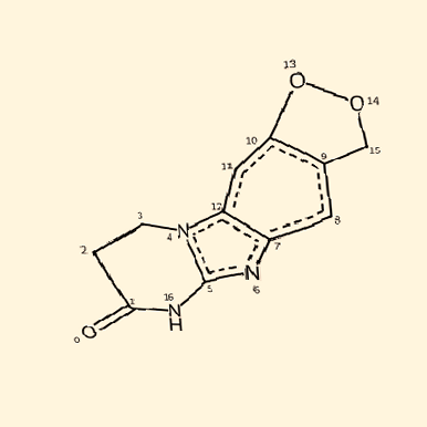 O=C1CCn2c(nc3cc4c(cc32)OOC4)N1